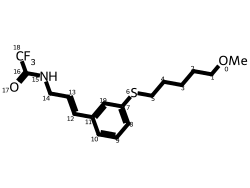 COCCCCCSc1cccc(C=CCNC(=O)C(F)(F)F)c1